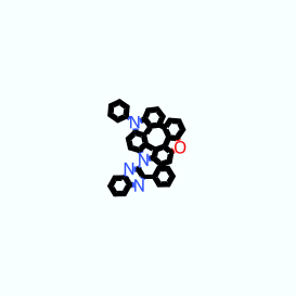 c1ccc(-c2nc3ccccc3nc2-n2c3ccc4oc5cccc6c7cccc8c7c7c(c3c4c56)c2ccc7n8-c2ccccc2)cc1